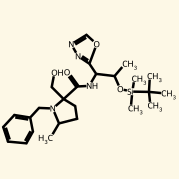 CC(O[Si](C)(C)C(C)(C)C)C(NC(=O)C1(CO)CCC(C)N1Cc1ccccc1)c1nnco1